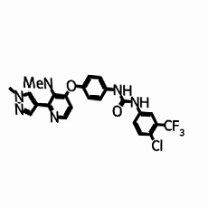 CNc1c(Oc2ccc(NC(=O)Nc3ccc(Cl)c(C(F)(F)F)c3)cc2)ccnc1-c1cnn(C)c1